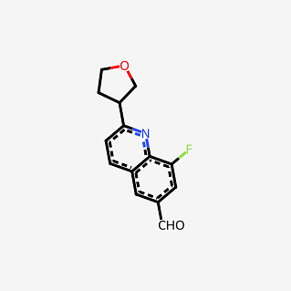 O=Cc1cc(F)c2nc(C3CCOC3)ccc2c1